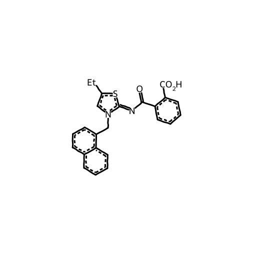 CCc1cn(Cc2cccc3ccccc23)/c(=N/C(=O)c2ccccc2C(=O)O)s1